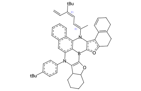 C=C/C(=C\C=C(/C)N1c2c(oc3c2C2=C(CCC=C2)CC3)B2C3=C(C4CCCCC4O3)N(c3ccc(C(C)(C)C)cc3)c3cc4ccccc4c1c32)C(C)(C)C